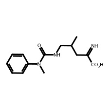 CC(CNC(=O)N(C)c1ccccc1)CC(=N)C(=O)O